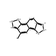 Cc1cc2c3c(ccc2c2c1=NSS2)=NSS3